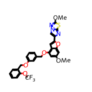 COc1cc(OCc2cccc(OCc3ccccc3OC(F)(F)F)c2)c2cc(-c3cn4nc(OC)sc4n3)oc2c1